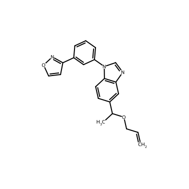 C=CCOC(C)c1ccc2c(c1)ncn2-c1cccc(-c2ccon2)c1